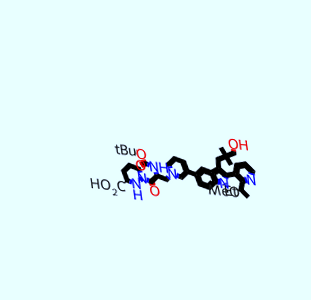 CCn1c(-c2cccnc2[C@H](C)OC)c(CC(C)(C)CO)c2cc(C3=CCCN(CC(NC(=O)OC(C)(C)C)C(=O)N4CCC[C@@H](C(=O)O)N4)C3)ccc21